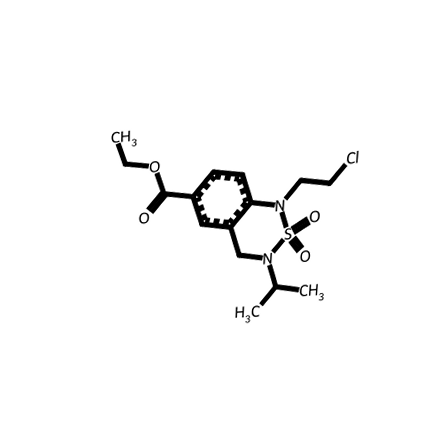 CCOC(=O)c1ccc2c(c1)CN(C(C)C)S(=O)(=O)N2CCCl